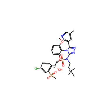 COc1cccc(OC)c1-n1c(-c2cncc(C)c2)nnc1N(CC[Si](C)(C)C)S(=O)(=O)C[C@H](O)c1ccc(Cl)cc1S(C)(=O)=O